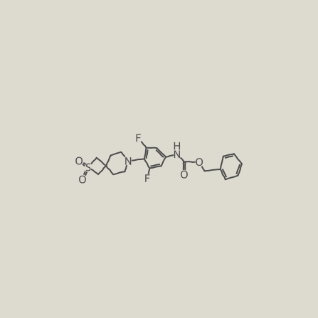 O=C(Nc1cc(F)c(N2CCC3(CC2)CS(=O)(=O)C3)c(F)c1)OCc1ccccc1